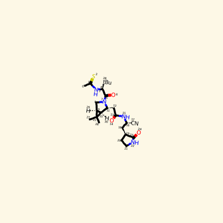 CC(=S)N[C@H](C(=O)N1C[C@H]2[C@@H]([C@H]1CC(=O)N[C@H](C#N)C[C@@H]1CCNC1=O)C2(C)C)C(C)(C)C